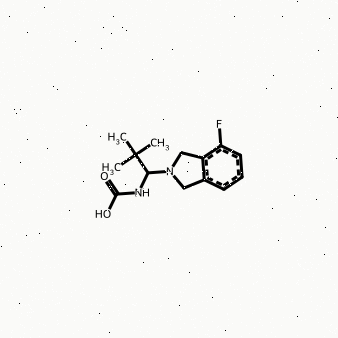 CC(C)(C)C(NC(=O)O)N1Cc2cccc(F)c2C1